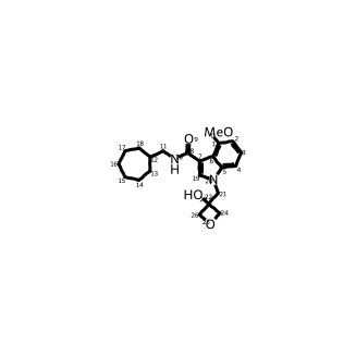 COc1cccc2c1c(C(=O)NCC1CCCCCC1)cn2CC1(O)COC1